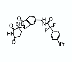 B[C@]1(N2Cc3cc(CNC(=O)C(F)(F)c4ccc(C(C)C)cc4)ccc3C2=O)CCC(=O)NC1=O